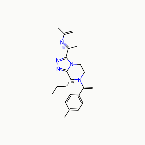 C=C(C)/N=C(\C)c1nnc2n1CCN(C(=C)c1ccc(C)cc1)[C@@H]2CCC